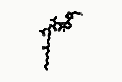 CCCCCCCC(=O)SCC/C=C/[C@H](CC(C)=O)OC(=O)C(NC(=O)[C@]1(C)CSC(c2csc(CN)n2)=N1)C(C)C